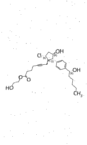 CCCCC[C@@H](O)c1ccc([C@@H]2[C@@H](CC#CCCCC(=O)OCCO)[C@H](Cl)C[C@H]2O)cc1